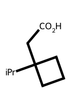 CC(C)C1(CC(=O)O)CCC1